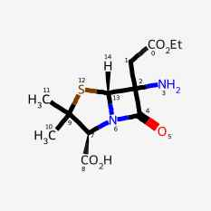 CCOC(=O)CC1(N)C(=O)N2[C@@H](C(=O)O)C(C)(C)S[C@@H]21